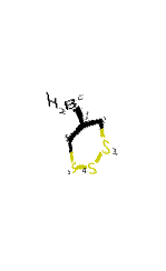 BC1CSSSC1